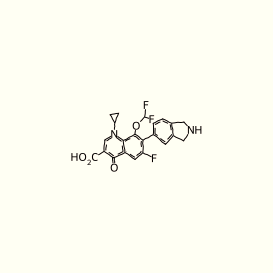 O=C(O)c1cn(C2CC2)c2c(OC(F)F)c(-c3ccc4c(c3)CNC4)c(F)cc2c1=O